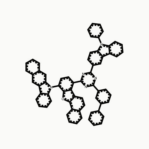 c1ccc(-c2cccc(-c3nc(-c4ccc5c(c4)c4ccccc4n5-c4ccccc4)nc(-c4ccc(-n5c6ccccc6c6cc7ccccc7cc65)c5oc6c7ccccc7ccc6c45)n3)c2)cc1